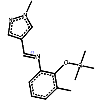 Cc1cccc(/N=C/c2cnn(C)c2)c1O[Si](C)(C)C